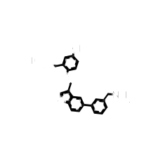 Cc1ccc(OCc2coc3ccc(-c4cccc(CN)c4)cc23)c(CC(=O)O)c1